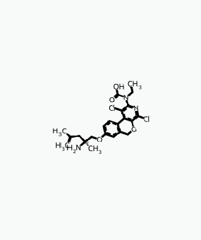 CCN(C(=O)O)c1nc(Cl)c2c(c1Cl)-c1ccc(OC[C@@](C)(N)CC(C)C)cc1CO2